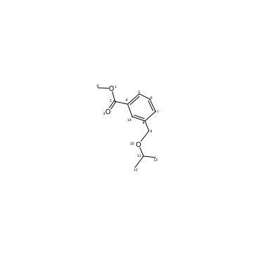 COC(=O)c1cccc(COC(C)C)c1